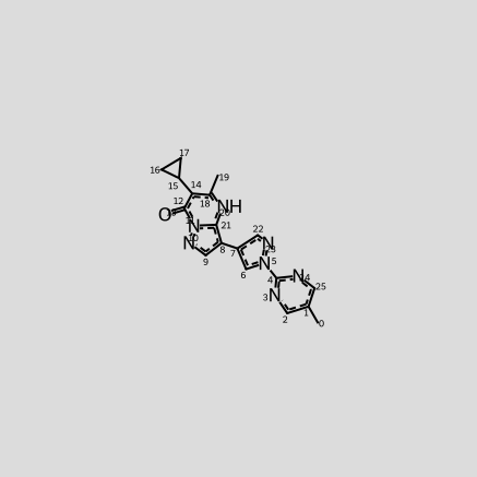 Cc1cnc(-n2cc(-c3cnn4c(=O)c(C5CC5)c(C)[nH]c34)cn2)nc1